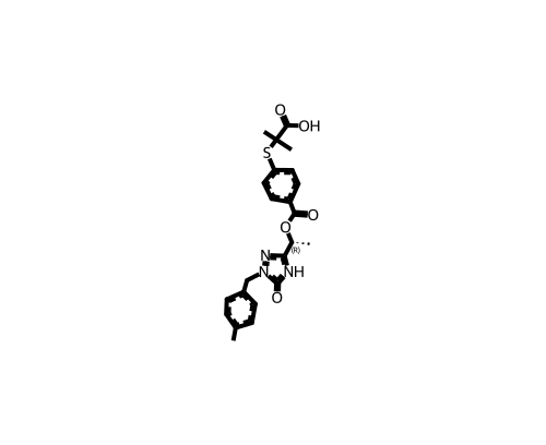 Cc1ccc(Cn2nc([C@@H](C)OC(=O)c3ccc(SC(C)(C)C(=O)O)cc3)[nH]c2=O)cc1